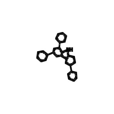 c1ccc(-c2ccc3[nH]c4c(-c5ccccc5)cc(-c5ccccc5)cc4c3c2)cc1